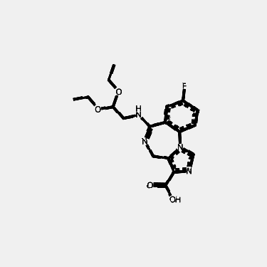 CCOC(CNC1=NCc2c(C(=O)O)ncn2-c2ccc(F)cc21)OCC